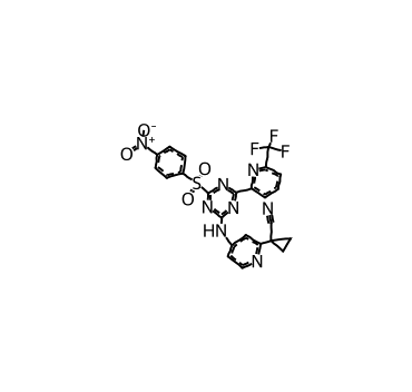 N#CC1(c2cc(Nc3nc(-c4cccc(C(F)(F)F)n4)nc(S(=O)(=O)c4ccc([N+](=O)[O-])cc4)n3)ccn2)CC1